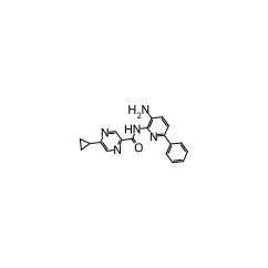 Nc1ccc(-c2ccccc2)nc1NC(=O)c1cnc(C2CC2)cn1